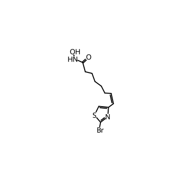 O=C(CCCCC/C=C\c1csc(Br)n1)NO